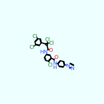 O=C(Nc1ccc(-n2ccnc2)cc1)c1cc(NC(=O)C2C(c3cc(Cl)cc(Cl)c3)C2(Cl)Cl)ccc1Cl